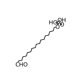 O=CCCCCCCCCCCCCCCCCCOP(=O)(O)O